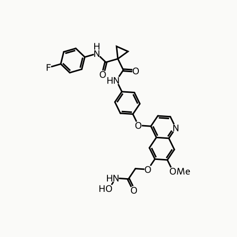 COc1cc2nccc(Oc3ccc(NC(=O)C4(C(=O)Nc5ccc(F)cc5)CC4)cc3)c2cc1OCC(=O)NO